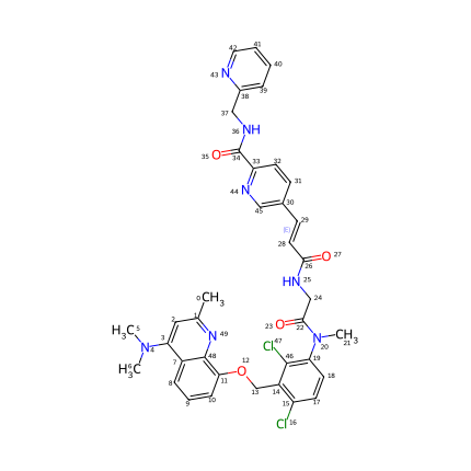 Cc1cc(N(C)C)c2cccc(OCc3c(Cl)ccc(N(C)C(=O)CNC(=O)/C=C/c4ccc(C(=O)NCc5ccccn5)nc4)c3Cl)c2n1